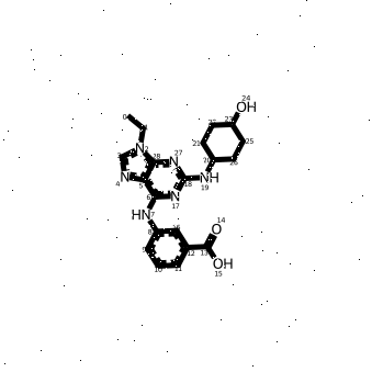 CCn1cnc2c(Nc3cccc(C(=O)O)c3)nc(NC3CCC(O)CC3)nc21